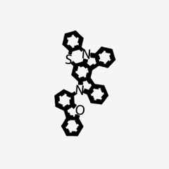 c1ccc2c(c1)Sc1cc3c(c4ccccc4n3-c3cccc4c3oc3ccccc34)c3c4ccccc4n-2c13